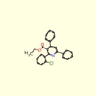 CCOC(=O)c1c(-c2ccccc2)cc(-c2ccccc2)nc1-c1ccccc1Cl